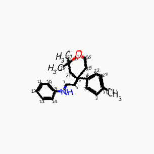 Cc1ccc(C2(CCNc3ccccc3)CCOC(C)(C)C2)cc1